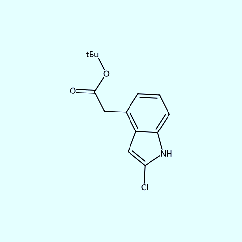 CC(C)(C)OC(=O)Cc1cccc2[nH]c(Cl)cc12